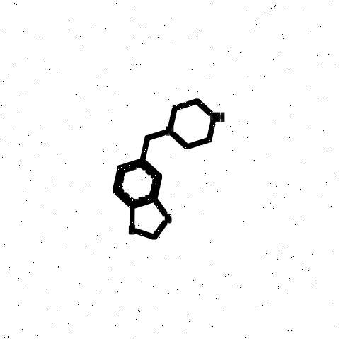 c1cc2c(cc1CN1CCNCC1)SCS2